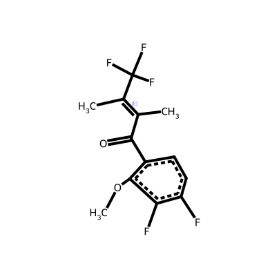 COc1c(C(=O)/C(C)=C(\C)C(F)(F)F)ccc(F)c1F